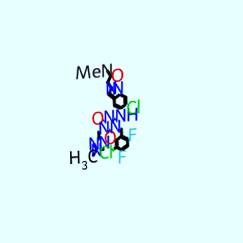 CNC(=O)Cn1cc2cc(Nc3nc(=O)n(Cc4ncn(C)n4)c(=O)n3Cc3cc(Cl)c(F)cc3F)c(Cl)cc2n1